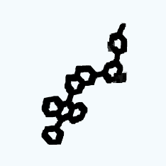 Cc1ccc(C2=CC(c3ccc4ccc(-c5c6ccccc6c(-c6ccccc6)c6ccccc56)cc4c3)=CNC2)nc1